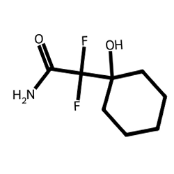 NC(=O)C(F)(F)C1(O)CCCCC1